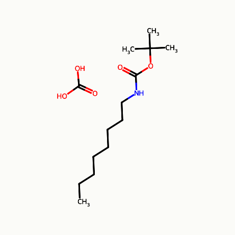 CCCCCCCCNC(=O)OC(C)(C)C.O=C(O)O